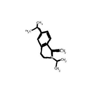 C=C1c2ccc(C(C)C)cc2CCN1C(C)C